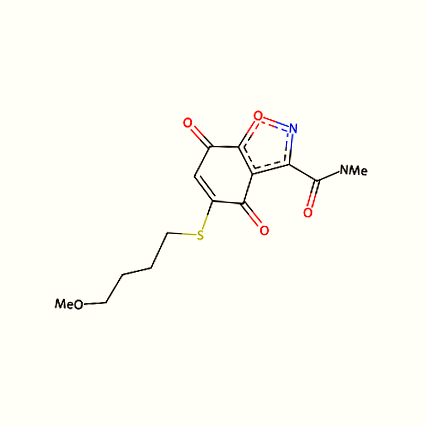 CNC(=O)c1noc2c1C(=O)C(SCCCCOC)=CC2=O